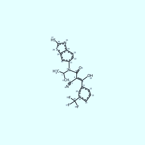 CC(C)N(C(=O)C(C#N)=C(O)c1cccc(C(F)(F)F)c1)c1ccc2nc(S)sc2c1